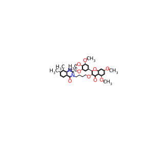 COc1cc(OC)c2c(=O)c(OCCCCn3cnc4c(C)c(C)ccc4c3=O)c(-c3cc(OC)c(OC)c(OC)c3)oc2c1